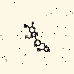 FCn1c(-c2cncc(Cn3cncc3Br)c2)nc2cc(F)c(Br)cc21